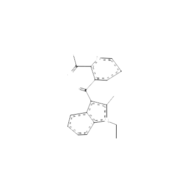 CCn1c(C)c(C(=O)c2cccnc2C(=O)O)c2ccccc21